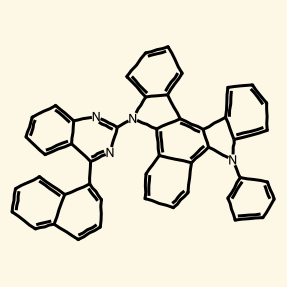 c1ccc(-n2c3ccccc3c3c4c5ccccc5n(-c5nc(-c6cccc7ccccc67)c6ccccc6n5)c4c4ccccc4c32)cc1